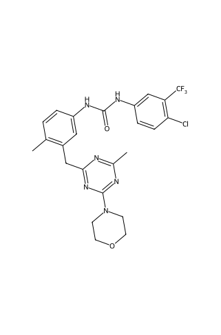 Cc1nc(Cc2cc(NC(=O)Nc3ccc(Cl)c(C(F)(F)F)c3)ccc2C)nc(N2CCOCC2)n1